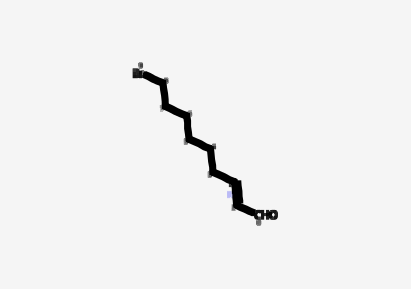 O=C/C=C/CCCCCCBr